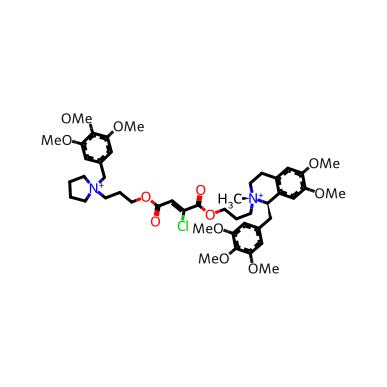 COc1cc2c(cc1OC)[C@@H](Cc1cc(OC)c(OC)c(OC)c1)[N@+](C)(CCCOC(=O)/C(Cl)=C/C(=O)OCCC[N+]1(Cc3cc(OC)c(OC)c(OC)c3)CCCC1)CC2